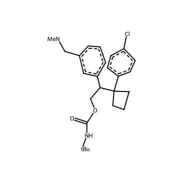 CNCc1cccc(C(COC(=O)NC(C)(C)C)C2(c3ccc(Cl)cc3)CCC2)c1